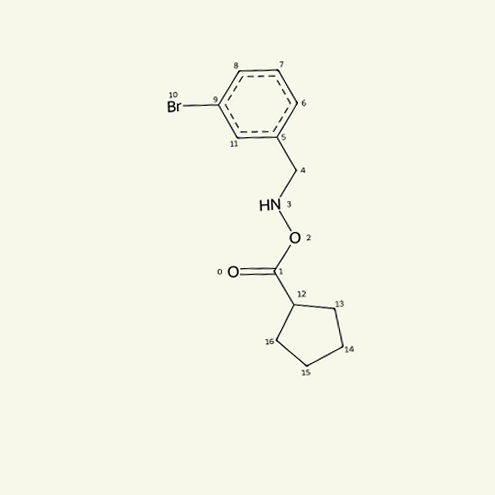 O=C(ONCc1cccc(Br)c1)C1CCCC1